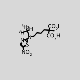 [3H]C([3H])([3H])N(CCCCC(C)(C(=O)O)C(=O)O)c1ncc([N+](=O)[O-])s1